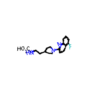 O=C(O)NCCC1CCN(c2ccc3c(F)cccc3n2)CC1